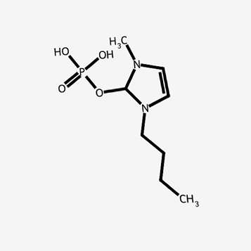 CCCCN1C=CN(C)C1OP(=O)(O)O